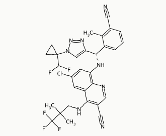 Cc1c(C#N)cccc1[C@H](Nc1cc(Cl)cc2c(NCC(C)(C)C(F)(F)F)c(C#N)cnc12)c1cn(C2(C(F)F)CC2)nn1